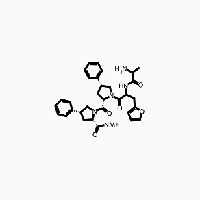 CNC(=O)[C@@H]1C[C@H](c2ccccc2)CN1C(=O)[C@@H]1C[C@H](c2ccccc2)CN1C(=O)C(Cc1ccco1)NC(=O)C(C)N